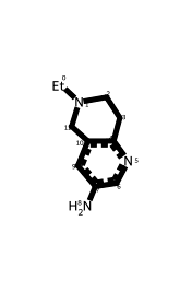 CCN1CCc2ncc(N)cc2C1